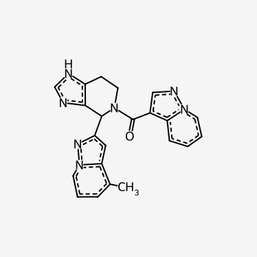 Cc1cccn2nc(C3c4nc[nH]c4CCN3C(=O)c3cnn4ccccc34)cc12